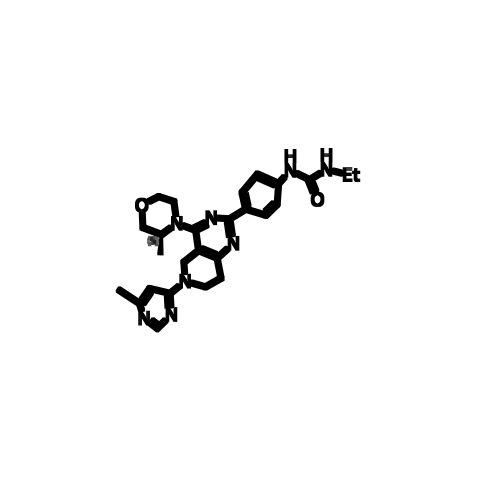 CCNC(=O)Nc1ccc(-c2nc3c(c(N4CCOC[C@@H]4C)n2)CN(c2cc(C)ncn2)CC3)cc1